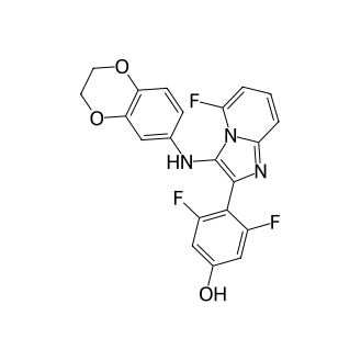 Oc1cc(F)c(-c2nc3cccc(F)n3c2Nc2ccc3c(c2)OCCO3)c(F)c1